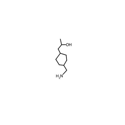 CC(O)CC1CCC(CN)CC1